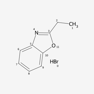 Br.CCc1nc2ccccc2o1